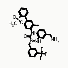 CS(=O)(=O)c1ccccc1-c1ccc(NC(=O)N(Cc2cccc(C(F)(F)F)c2)Nc2cccc(CN)c2)c(F)c1